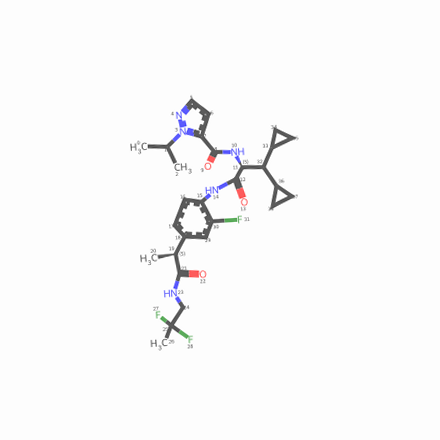 CC(C)n1nccc1C(=O)N[C@H](C(=O)Nc1ccc([C@H](C)C(=O)NCC(C)(F)F)cc1F)C(C1CC1)C1CC1